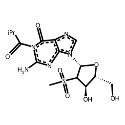 CC(C)C(=O)n1c(N)nc2c(ncn2[C@@H]2O[C@H](CO)[C@@H](O)C2S(C)(=O)=O)c1=O